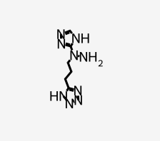 NN(CCCc1nnn[nH]1)c1nnc[nH]1